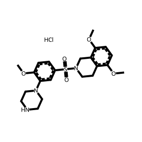 COc1ccc(S(=O)(=O)N2CCc3c(OC)ccc(OC)c3C2)cc1N1CCNCC1.Cl